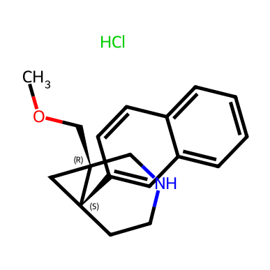 COC[C@@]12CNCC[C@]1(c1ccc3ccccc3c1)C2.Cl